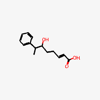 CC(c1ccccc1)C(O)CC/C=C/C(=O)O